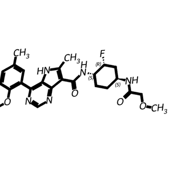 COCC(=O)N[C@H]1CC[C@H](NC(=O)c2c(C)[nH]c3c(-c4cc(C)ccc4OCC4CC4)ncnc23)[C@H](F)C1